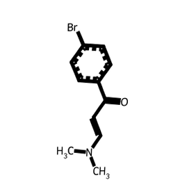 CN(C)C=CC(=O)c1ccc(Br)cc1